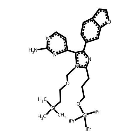 CC(C)[Si](OCCCc1nc(-c2ccc3ccoc3c2)c(-c2ccnc(N)n2)n1COCC[Si](C)(C)C)(C(C)C)C(C)C